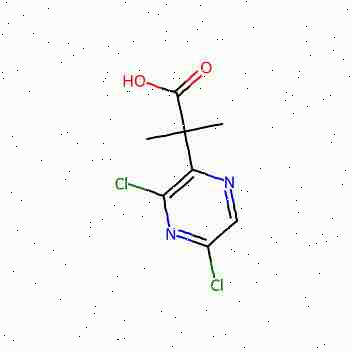 CC(C)(C(=O)O)c1ncc(Cl)nc1Cl